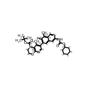 Cc1c(-c2cc3cc(NC(=O)OC4CCCCC4)ncc3c(C)c2F)cnc2c1N(C(=O)OC(C)(C)C)CCO2